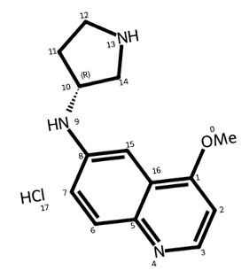 COc1ccnc2ccc(N[C@@H]3CCNC3)cc12.Cl